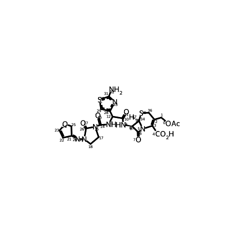 CC(=O)OCC1=C(C(=O)O)N2C(=O)[C@@H](NC(=O)C(NC(=O)N3CCN(N=C4C=COC4)C3=O)c3csc(N)n3)[C@H]2SC1